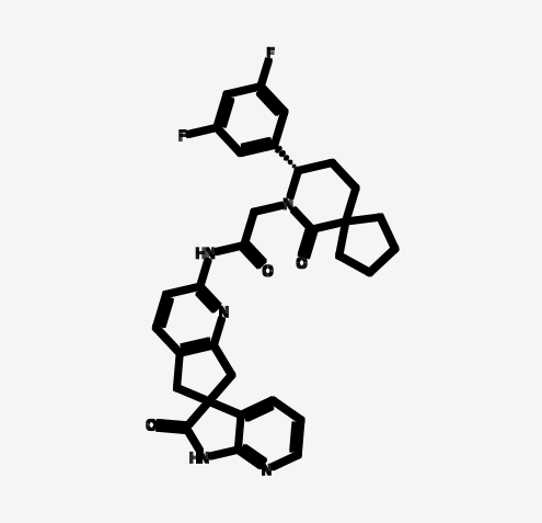 O=C(CN1C(=O)C2(CCCC2)CC[C@H]1c1cc(F)cc(F)c1)Nc1ccc2c(n1)CC1(C2)C(=O)Nc2ncccc21